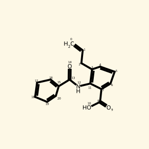 C=CCc1cccc(C(=O)O)c1NC(=O)c1ccccc1